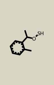 Cc1ccccc1C(C)OS